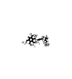 BCc1c(C)c(C(=O)O)c(C(=O)OC#CC(=O)OC(CS(=O)(=O)O)C(F)(F)F)c(CB)c1CB